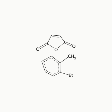 CCc1ccccc1C.O=C1C=CC(=O)O1